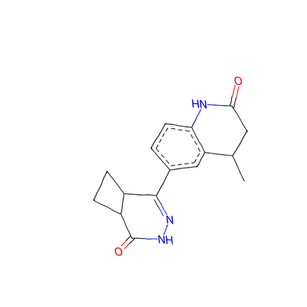 CC1CC(=O)Nc2ccc(C3=NNC(=O)C4CCC34)cc21